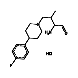 CC(CN1CCC(c2ccc(F)cc2)CC1)C(N)C=O.Cl